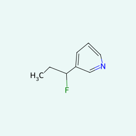 CCC(F)c1cccnc1